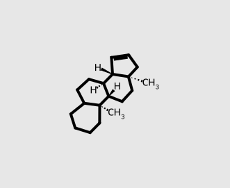 C[C@@]12CC=C[C@H]1[C@@H]1CCC3CCCC[C@]3(C)[C@H]1CC2